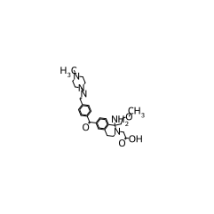 COCCC1(N)c2ccc(C(=O)c3ccc(C=NN4CCN(C)CC4)cc3)cc2CCN1CC(=O)O